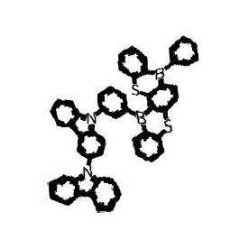 c1ccc(B2c3ccccc3Sc3c2ccc2c3B(c3cccc(-n4c5ccccc5c5cc(-n6c7ccccc7c7ccccc76)ccc54)c3)c3ccccc3S2)cc1